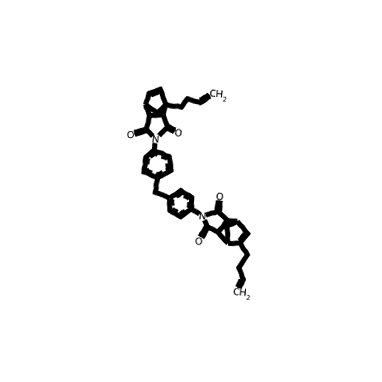 C=CCCC1=CC2CC1C1C(=O)N(c3ccc(Cc4ccc(N5C(=O)C6C7C=CC(CCC=C)(C7)C6C5=O)cc4)cc3)C(=O)C21